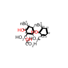 CCCCc1cccc(C(=O)O)c1O.CCCCc1cccc(C(=O)O)c1O.O=C(O)O